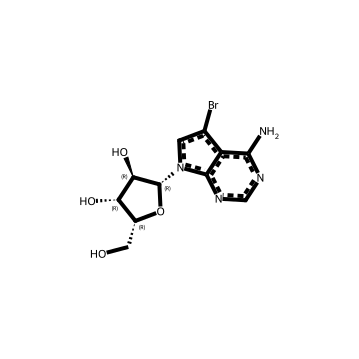 Nc1ncnc2c1c(Br)cn2[C@@H]1O[C@H](CO)[C@H](O)[C@H]1O